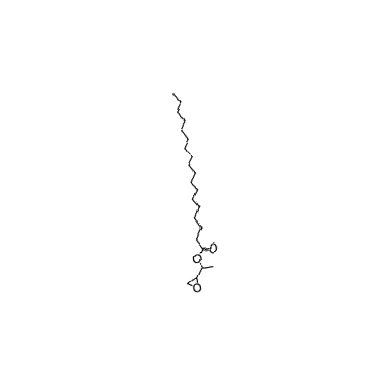 CCCCCCCCCCCCCCCCCC(=O)OC(C)C1CO1